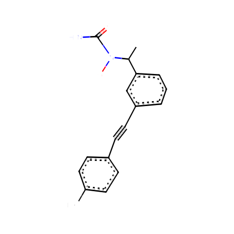 CC(c1cccc(C#Cc2ccc(C(F)(F)F)cc2)c1)N(O)C(N)=O